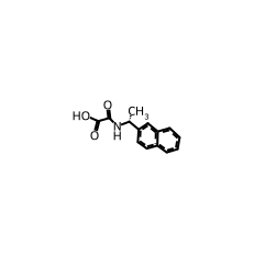 C[C@@H](NC(=O)C(=O)O)c1ccc2ccccc2c1